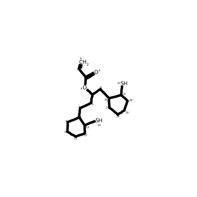 C=CC(=O)OC(CCC1CCCCC1S)CC1CCCCC1S